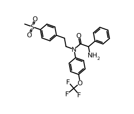 CS(=O)(=O)c1ccc(CCN(C(=O)C(N)c2ccccc2)c2ccc(OC(F)(F)F)cc2)cc1